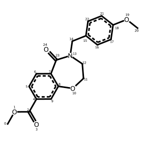 COC(=O)c1ccc2c(c1)OCCN(Cc1ccc(OC)cc1)C2=O